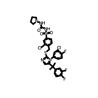 CC(C)(c1ccc(F)c(F)c1)c1cnc(SCc2ccc(S(=O)(=O)NC(=O)NN3CCCC3)cc2Cl)n1-c1ccc(F)c(Cl)c1